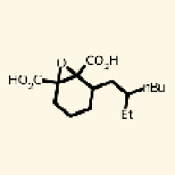 CCCCC(CC)CC1CCCC2(C(=O)O)OC12C(=O)O